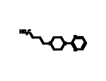 O=C(O)CCCN1CCN(c2ncccn2)CC1